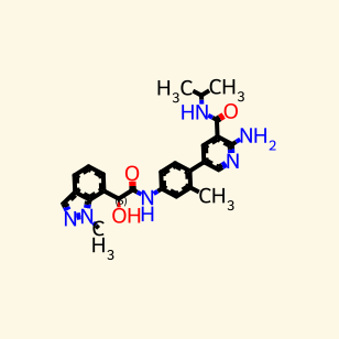 Cc1cc(NC(=O)[C@@H](O)c2cccc3cnn(C)c23)ccc1-c1cnc(N)c(C(=O)NC(C)C)c1